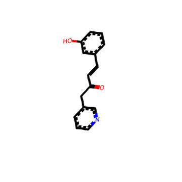 O=C(C=Cc1cccc(O)c1)Cc1cccnc1